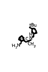 CC(C)(C)Cc1cccc(CNCC(C)(C)Cc2ccccc2CN)c1